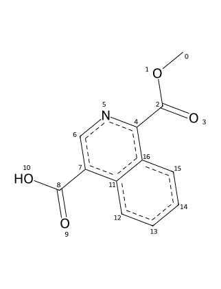 COC(=O)c1ncc(C(=O)O)c2ccccc12